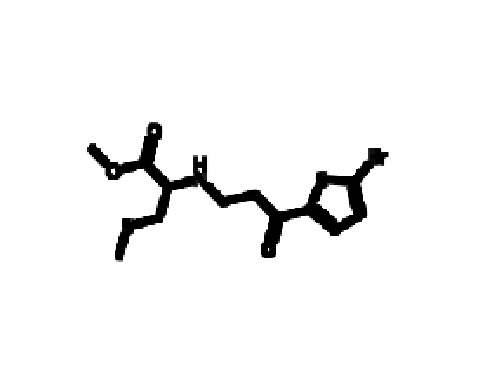 COC(=O)C(CSC)NCCC(=O)c1ccc(Br)s1